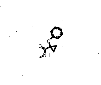 CNC(=O)C1(Oc2ccccc2)CC1